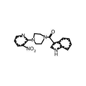 O=C(c1c[nH]c2ccccc12)N1CCN(c2ncccc2[N+](=O)[O-])CC1